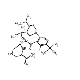 CC(C)C1CNCCN1.COC(=O)c1c(N2CCN(C(C)C)C(C(C)(C)C)C2)ccc(C(C)(C)C)c1F